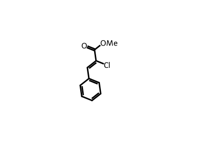 COC(=O)C(Cl)=Cc1ccccc1